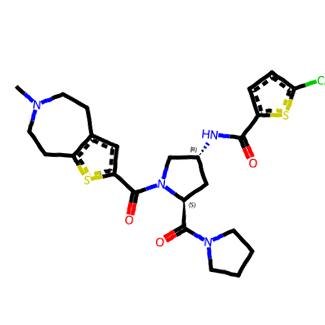 CN1CCc2cc(C(=O)N3C[C@H](NC(=O)c4ccc(Cl)s4)C[C@H]3C(=O)N3CCCC3)sc2CC1